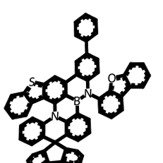 c1ccc(-c2ccc3c(c2)-c2cc4sc5ccccc5c4c4c2B(c2cccc5c2N4c2ccccc2C52c4ccccc4-c4ccccc42)N3c2cccc3c2oc2ccccc23)cc1